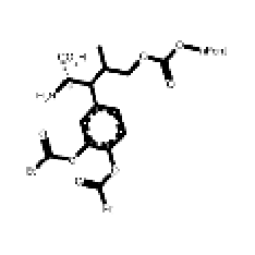 CCCCCOC(=O)OCC(C)C(c1ccc(OC(=O)CC)c(OC(=O)CC)c1)[C@H](N)C(=O)O